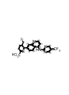 O=C(O)c1ccc(CF)c(-c2ccc3c(Nc4ncc(C(F)(F)F)cn4)ccnc3c2)n1